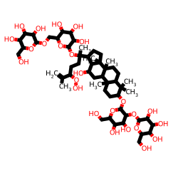 C=C(C)C(CCC(C)(OC1OC(COC2OC(CO)C(O)C(O)C2O)C(O)C(O)C1O)C1CCC2(C)C1C(O)CC1C3(C)CCC(OC4OC(CO)C(O)C(O)C4OC4OC(CO)C(O)C(O)C4O)C(C)(C)C3CCC12C)OO